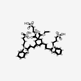 CCOC(=O)C1(C(=O)NCCS(=O)(=O)O)CC(/C=C/c2sc3ccccc3[n+]2CCCS(=O)(=O)O)=CC(=C/C=C2\Sc3ccccc3N2CCCS(=O)(=O)O)/C1